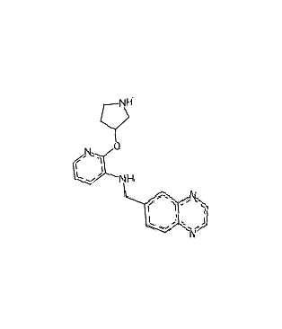 c1cnc(OC2CCNC2)c(NCc2ccc3nccnc3c2)c1